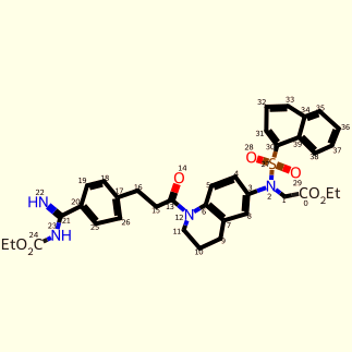 CCOC(=O)CN(c1ccc2c(c1)CCCN2C(=O)CCc1ccc(C(=N)NC(=O)OCC)cc1)S(=O)(=O)c1cccc2ccccc12